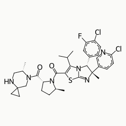 CC(C)C1=C(C(=O)N2[C@@H](C(=O)N3CC4(CC4)NC[C@@H]3C)CC[C@@H]2C)SC2=N[C@@](C)(c3ccc(Cl)nc3)[C@@H](c3ccc(Cl)c(F)c3)N21